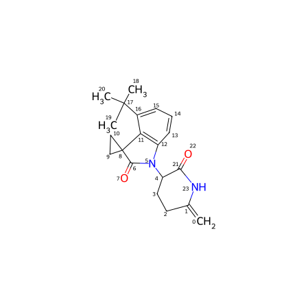 C=C1CCC(N2C(=O)C3(CC3)c3c2cccc3C(C)(C)C)C(=O)N1